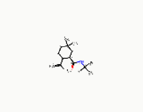 C=C(C)C1CCC(C)(C)CC1C(=O)NC(C)(C(C)C)C(C)C